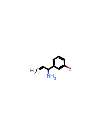 C=CC(N)c1cccc(Br)c1